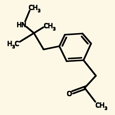 CNC(C)(C)Cc1cccc(CC(C)=O)c1